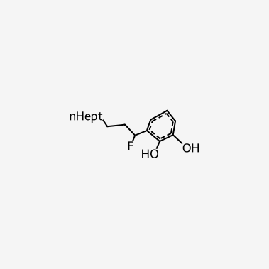 CCCCCCCCCC(F)c1cccc(O)c1O